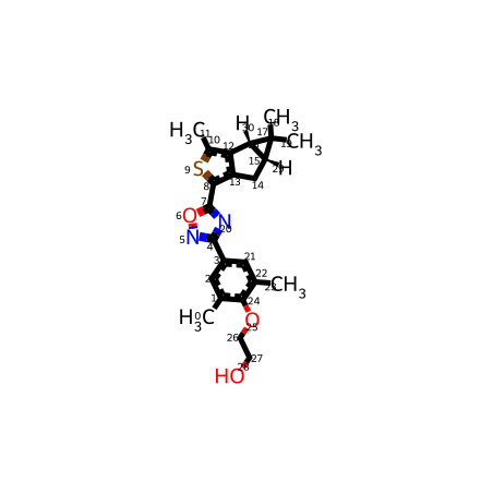 Cc1cc(-c2noc(-c3sc(C)c4c3C[C@@H]3[C@H]4C3(C)C)n2)cc(C)c1OCCO